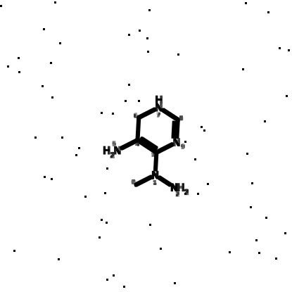 CN(N)C1=C(N)CNC=N1